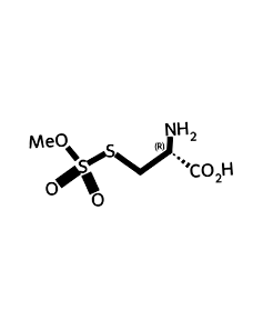 COS(=O)(=O)SC[C@H](N)C(=O)O